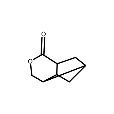 O=C1OC[C]2C3CC2C1C3